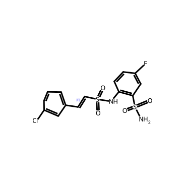 NS(=O)(=O)c1cc(F)ccc1NS(=O)(=O)/C=C/c1cccc(Cl)c1